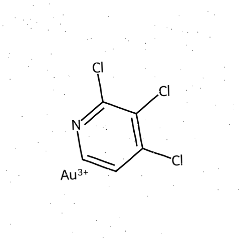 Clc1ccnc(Cl)c1Cl.[Au+3]